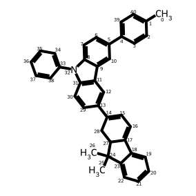 Cc1ccc(-c2ccc3c(c2)c2cc(C4=CC=C5c6ccccc6C(C)(C)C5C4)ccc2n3-c2ccccc2)cc1